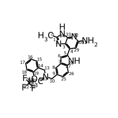 Cc1nc2c(-c3cc4cc(CN(C)Cc5ccccc5OC(F)(F)F)ccc4[nH]3)cc(N)nc2[nH]1